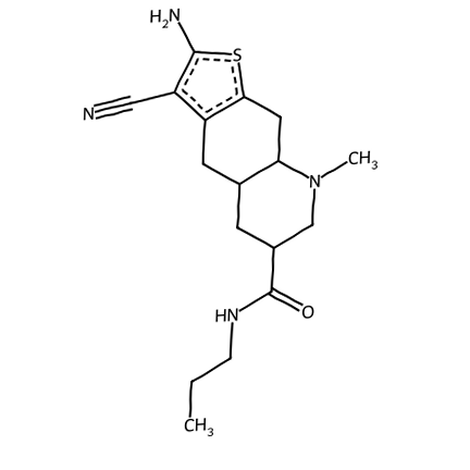 CCCNC(=O)C1CC2Cc3c(sc(N)c3C#N)CC2N(C)C1